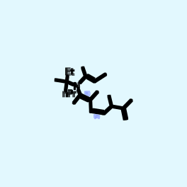 C=C(C)C(C)/C=C\C(C)=C(/C)N(C(C)=CC)C(C)(CC)CCC